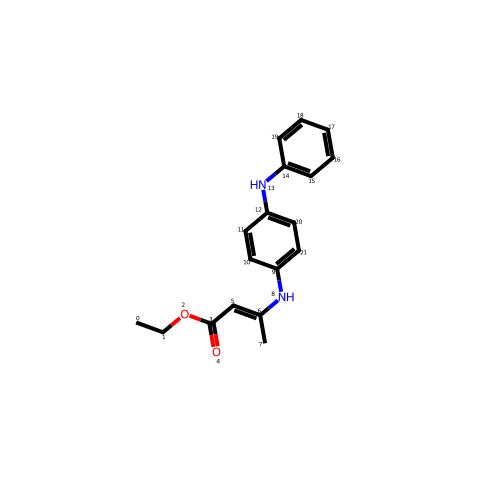 CCOC(=O)C=C(C)Nc1ccc(Nc2ccccc2)cc1